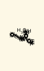 CNS(=O)(=S)c1ccc(Nc2ccc(C(F)(F)F)cc2)c(-c2nnn(CCOCc3ccccc3)n2)c1